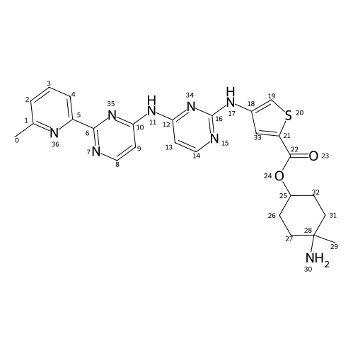 Cc1cccc(-c2nccc(Nc3ccnc(Nc4csc(C(=O)OC5CCC(C)(N)CC5)c4)n3)n2)n1